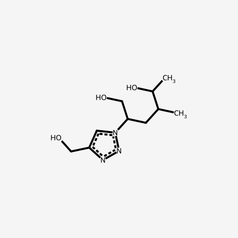 CC(O)C(C)CC(CO)n1cc(CO)nn1